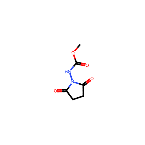 COC(=O)NN1C(=O)CCC1=O